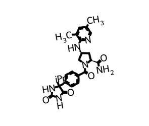 Cc1cnc(N[C@H]2C[C@@H](C(N)=O)N(C(=O)c3ccc(C4(C(C)C)NC(=O)NC4=O)cc3)C2)c(C)c1